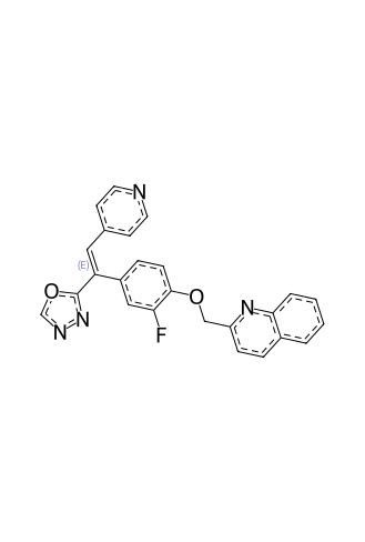 Fc1cc(/C(=C\c2ccncc2)c2nnco2)ccc1OCc1ccc2ccccc2n1